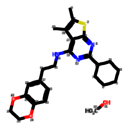 Cc1sc2nc(C3CCCCC3)nc(NCCc3ccc4c(c3)OCCO4)c2c1C.O=C(O)O